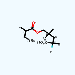 CC(CC(C)(C)C)C(=O)OCC(C)(C)CC(C)(F)C(=O)O